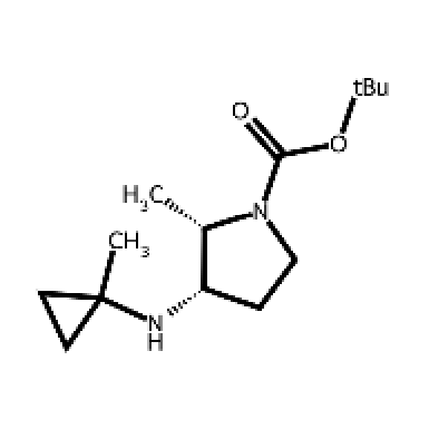 C[C@H]1[C@@H](NC2(C)CC2)CCN1C(=O)OC(C)(C)C